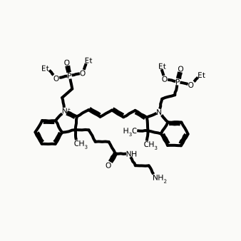 CCOP(=O)(CCN1/C(=C/C=C/C=C/C2=[N+](CCP(=O)(OCC)OCC)c3ccccc3C2(C)CCCC(=O)NCCN)C(C)(C)c2ccccc21)OCC